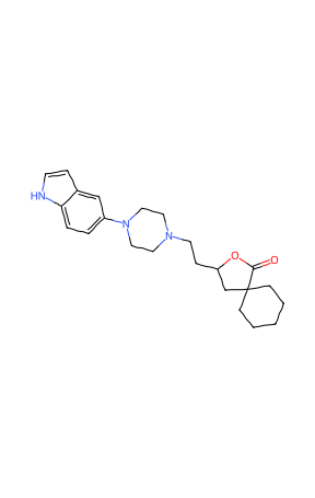 O=C1OC(CCN2CCN(c3ccc4[nH]ccc4c3)CC2)CC12CCCCC2